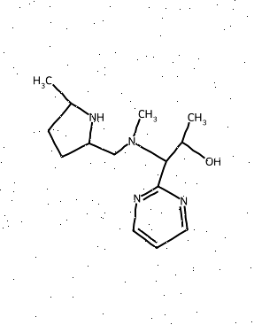 CC1CCC(CN(C)C(c2ncccn2)C(C)O)N1